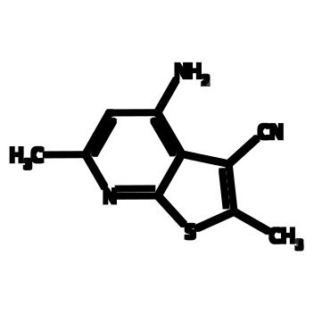 Cc1cc(N)c2c(C#N)c(C)sc2n1